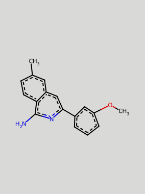 COc1cccc(-c2cc3cc(C)ccc3c(N)n2)c1